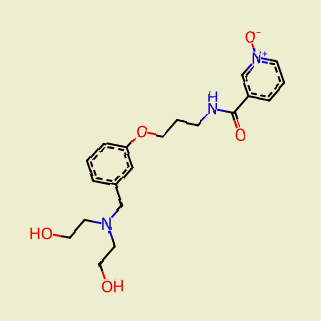 O=C(NCCCOc1cccc(CN(CCO)CCO)c1)c1ccc[n+]([O-])c1